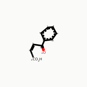 O=C(O)/C=C\C(=O)c1ccccc1